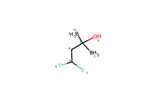 BC(B)(O)CC(F)F